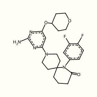 Nc1nc(OC2CCOCC2)cc(N2CCC3(CCCC(=O)N3c3ccc(F)c(F)c3)CC2)n1